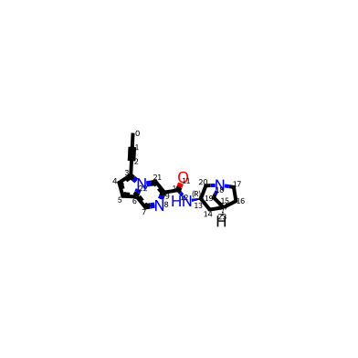 CC#Cc1ccc2cnc(C(=O)N[C@@H]3C[C@@H]4CCN(C4)C3)cn12